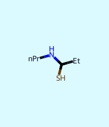 CCCN[C](S)CC